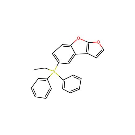 CCS(c1ccccc1)(c1ccccc1)c1ccc2oc3occc3c2c1